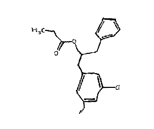 CCC(=O)OC(Cc1ccccc1)Cc1cc(F)cc(Cl)c1